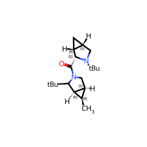 C[C@@H]1[C@@H]2CN(C(=O)[C@@H]3[C@@H]4C[C@@H]4CN3C(C)(C)C)C(C(C)(C)C)[C@H]12